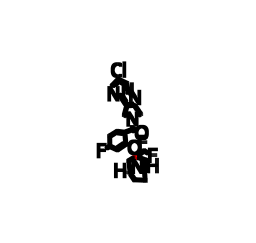 O=C(C1=CCC(F)C=C1O[C@H]1C[C@H]2CC[C@@H](C1)N2CC(F)F)N1Cc2nn3cc(Cl)cnc3c2C1